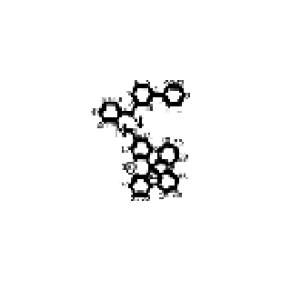 c1ccc(-c2cccc(-c3nc(-c4ccc5c(c4)Oc4ccccc4C5(c4ccccc4)c4ccccc4)nc4ccccc34)c2)cc1